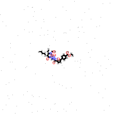 CCCCC[C@@H](C(=O)NCNC(=O)c1ccc(-c2ccc(C(=O)OCC)cc2)o1)[C@@H](CC)N(O)C=O